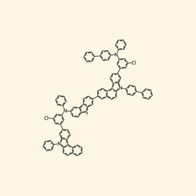 Clc1cc(-c2ccc3c4c5ccc(-c6ccc7c(c6)sc6ccc(N(c8ccccc8)c8cc(Cl)cc(-c9ccc%10c%11c%12ccccc%12ccc%11n(-c%11ccccc%11)c%10c9)c8)cc67)cc5ccc4n(-c4ccc(-c5ccccc5)cc4)c3c2)cc(N(c2ccccc2)c2ccc(-c3ccccc3)cc2)c1